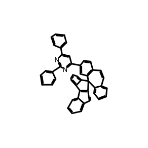 C1=Cc2ccc(-c3cc(-c4ccccc4)nc(-c4ccccc4)n3)cc2C2(c3ccccc31)c1ccccc1-c1c2ccc2ccccc12